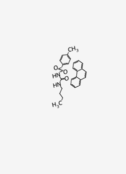 CCCCNC(=O)NS(=O)(=O)c1ccc(C)cc1.c1ccc2c(c1)ccc1ccccc12